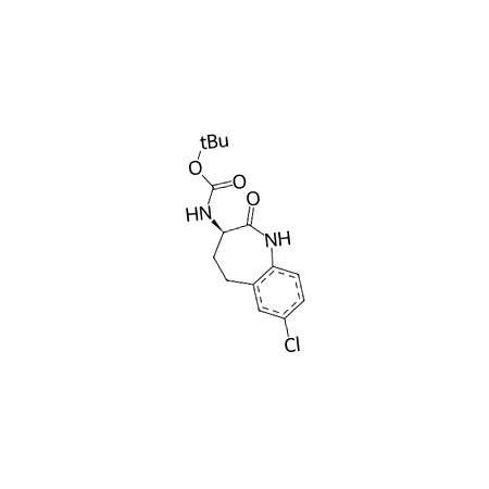 CC(C)(C)OC(=O)N[C@@H]1CCc2cc(Cl)ccc2NC1=O